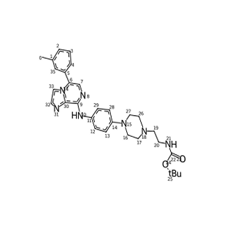 Cc1cccc(-c2cnc(Nc3ccc(N4CCN(CCNC(=O)OC(C)(C)C)CC4)cc3)c3nccn23)c1